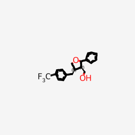 OC[C@@H]1C(c2ccccc2)OC[C@@H]1Cc1ccc(C(F)(F)F)cc1